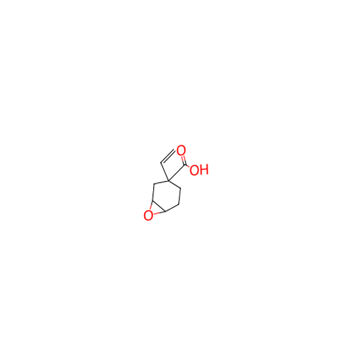 C=CC1(C(=O)O)CCC2OC2C1